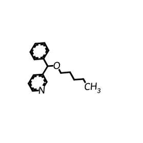 CCCCCOC(c1ccccc1)c1cccnc1